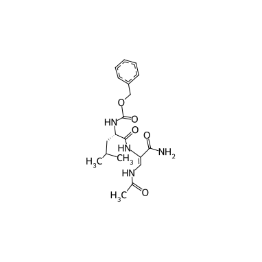 CC(=O)N/C=C(\NC(=O)[C@H](CC(C)C)NC(=O)OCc1ccccc1)C(N)=O